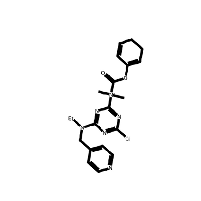 CCN(Cc1ccncc1)c1nc(Cl)nc([N+](C)(C)C(=O)OC2=CC[CH]C=C2)n1